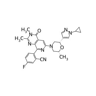 Cc1nc2c(-c3ccc(F)cc3C#N)nc(N3C[C@@H](C)O[C@@H](c4cnn(C5CC5)c4)C3)cc2c(=O)n1C